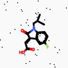 CC(C)CN1C(=O)/C(=C/C(=O)O)c2cc(F)ccc21